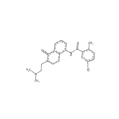 Cc1ccc(Cl)cc1C(=O)Nc1cccc2c(=O)n(CCN(C)C)ccc12